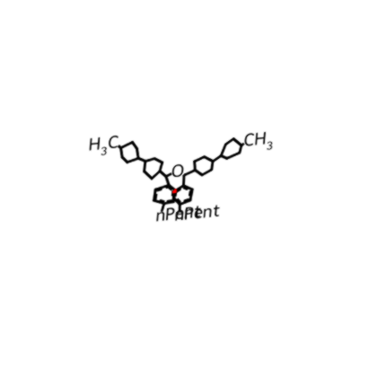 CCCCCc1ccc(C(OC(c2ccc(CCCCC)cc2)C2CCC(C3CCC(C)CC3)CC2)C2CCC(C3CCC(C)CC3)CC2)cc1